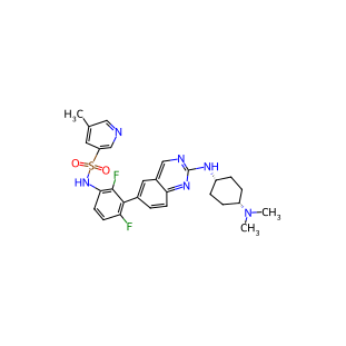 Cc1cncc(S(=O)(=O)Nc2ccc(F)c(-c3ccc4nc(N[C@H]5CC[C@@H](N(C)C)CC5)ncc4c3)c2F)c1